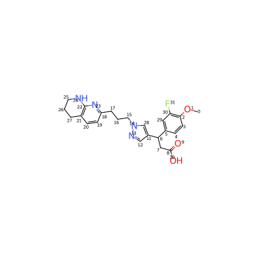 COc1ccc(C(CC(=O)O)c2cnn(CCCc3ccc4c(n3)NCCC4)c2)cc1F